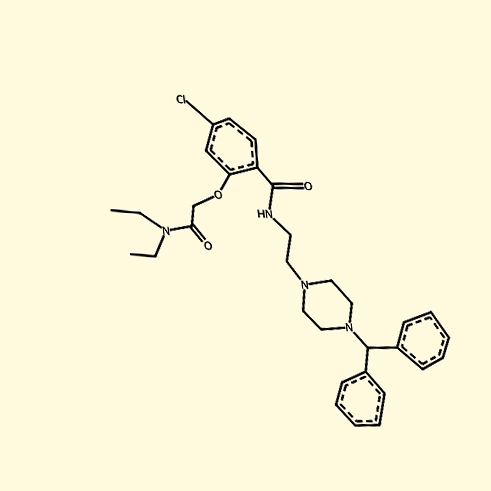 CCN(CC)C(=O)COc1cc(Cl)ccc1C(=O)NCCN1CCN(C(c2ccccc2)c2ccccc2)CC1